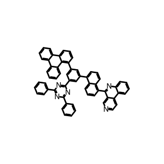 c1ccc(-c2nc(-c3ccccc3)nc(-c3cc(-c4cccc5c(-c6nc7ccccc7c7ccncc67)cccc45)cc(-c4cccc5c6ccccc6c6ccccc6c45)c3)n2)cc1